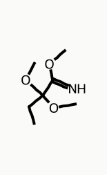 CCC(OC)(OC)C(=N)OC